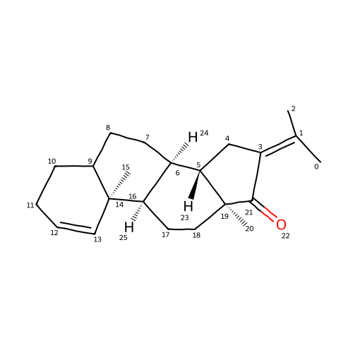 CC(C)=C1C[C@H]2[C@@H]3CCC4CCC=C[C@]4(C)[C@@H]3CC[C@]2(C)C1=O